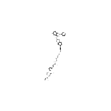 C=CC(=O)N1CCN(c2ccc(C=CC(=O)NCCCCCOCC#Cc3ccc4c(c3)CC(Nc3nc(-c5cccnc5)nc5ccccc35)C4)o2)C(=O)C1